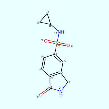 O=C1NCc2cc(S(=O)(=O)NC3CC3)ccc21